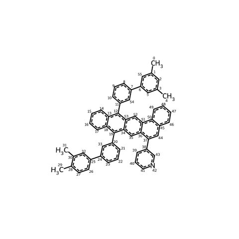 Cc1cc(C)cc(-c2cccc(-c3c4ccccc4c(-c4cccc(-c5ccc(C)c(C)c5)c4)c4cc5c(-c6cccnc6)cc6ccccc6c5cc34)c2)c1